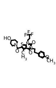 COc1ccc(CCn2c(=O)c3c(C)c(C(=O)N4CCC(O)CC4)sc3n(CCC(F)(F)F)c2=O)cc1